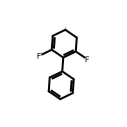 FC1=C[CH]CC(F)=C1c1ccccc1